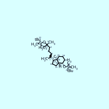 CC(=CCCC(C)(C)O[Si](C)(C)C(C)(C)C)[C@H]1CC[C@H]2[C@@H](O[Si](C)(C)C(C)(C)C)CCC[C@]12C